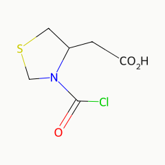 O=C(O)CC1CSCN1C(=O)Cl